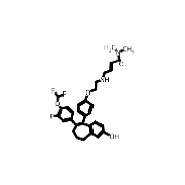 CN(C)C(=O)/C=C/CNCCOc1ccc(C2=C(c3ccc(OC(F)F)c(F)c3)CCCc3cc(O)ccc32)cc1